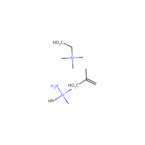 C=C(C)C(=O)O.CCC[N+](C)(C)N.C[N+](C)(C)CC(=O)O